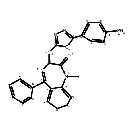 CN1C(=O)C(Nc2nnc(-c3ccc(P)cc3)o2)N=C(c2ccccc2)C2=CCCC=C21